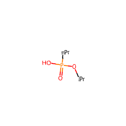 CCCP(=O)(O)OC(C)C